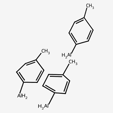 Cc1cc[c]([AlH2])cc1.Cc1cc[c]([AlH2])cc1.Cc1cc[c]([AlH2])cc1